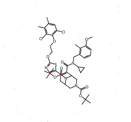 COc1cccc(CN(C(=O)C2=C(c3cnc(OCCOc4c(Cl)cc(C)c(C)c4Cl)s3)CC3CN(C(=O)OC(C)(C)C)CC2N3C(=O)OC(C)(C)C)C2CC2)c1C